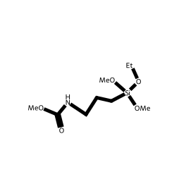 CCO[Si](CCCNC(=O)OC)(OC)OC